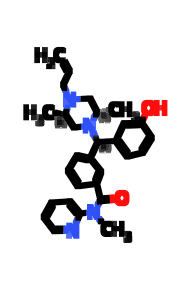 C=CCN1C[C@H](C)N([C@@H](c2cccc(O)c2)c2cccc(C(=O)N(C)c3ccccn3)c2)C[C@H]1C